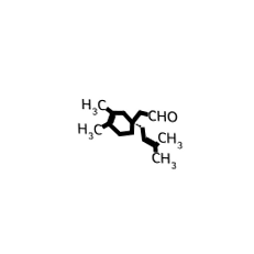 CC(C)=CC[C@]1(CC=O)CCC(C)=C(C)C1